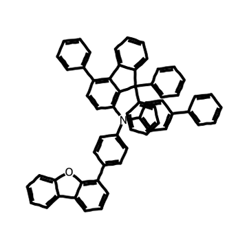 c1ccc(-c2ccc(N(c3ccc(-c4cccc5c4oc4ccccc45)cc3)c3ccc(-c4ccccc4)c4c3C(c3ccccc3)(c3ccccc3)c3ccccc3-4)cc2)cc1